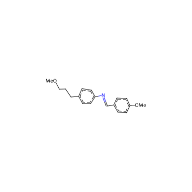 COCCCc1ccc(N=Cc2ccc(OC)cc2)cc1